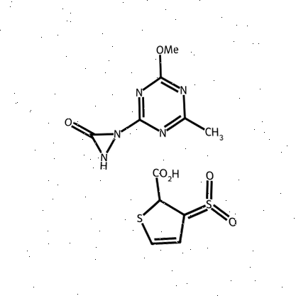 COc1nc(C)nc(N2NC2=O)n1.O=C(O)C1SC=CC1=S(=O)=O